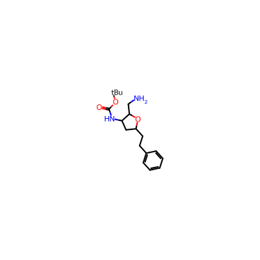 CC(C)(C)OC(=O)NC1CC(CCc2ccccc2)OC1CN